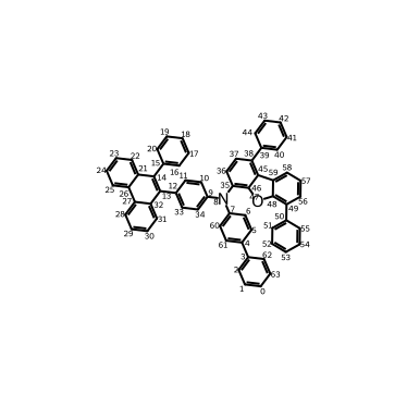 c1ccc(-c2ccc(N(c3ccc(-c4c(-c5ccccc5)c5ccccc5c5ccccc45)cc3)c3ccc(-c4ccccc4)c4c3oc3c(-c5ccccc5)cccc34)cc2)cc1